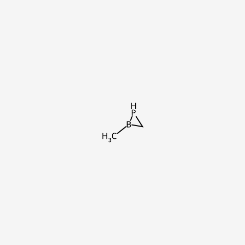 CB1CP1